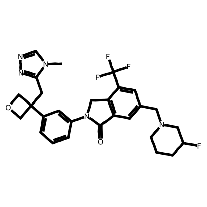 Cn1cnnc1CC1(c2cccc(N3Cc4c(cc(CN5CCCC(F)C5)cc4C(F)(F)F)C3=O)c2)COC1